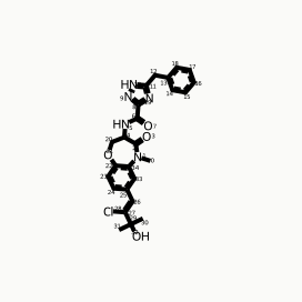 CN1C(=O)C(NC(=O)c2n[nH]c(Cc3ccccc3)n2)COc2ccc(C=C(Cl)C(C)(C)O)cc21